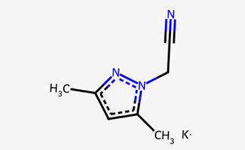 Cc1cc(C)n(CC#N)n1.[K]